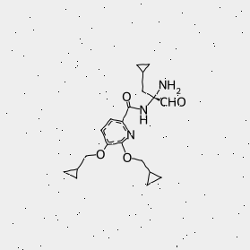 N[C@@](C=O)(CC1CC1)NC(=O)c1ccc(OCC2CC2)c(OCC2CC2)n1